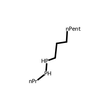 CCCCCCCCPPCCC